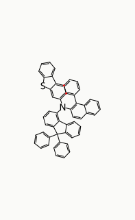 c1ccc(-c2c(N(c3ccc4c(c3)sc3ccccc34)c3cccc4c3-c3ccccc3C4(c3ccccc3)c3ccccc3)ccc3ccccc23)cc1